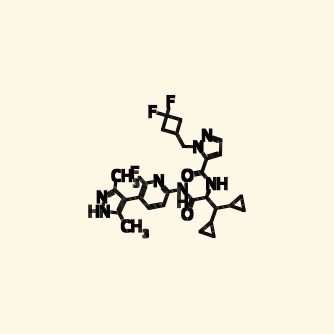 Cc1n[nH]c(C)c1-c1ccc(NC(=O)[C@@H](NC(=O)c2ccnn2CC2CC(F)(F)C2)C(C2CC2)C2CC2)nc1F